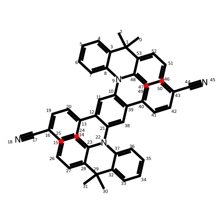 CC1(C)c2ccccc2N(c2cc(-c3ccc(C#N)cc3)c(N3c4ccccc4C(C)(C)c4ccccc43)cc2-c2ccc(C#N)cc2)c2ccccc21